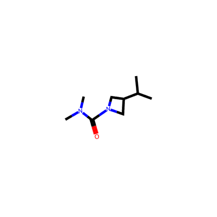 CC(C)C1CN(C(=O)N(C)C)C1